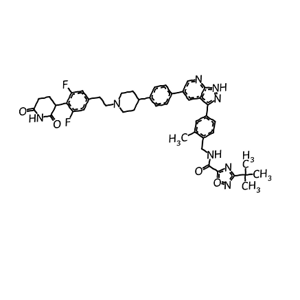 Cc1cc(-c2n[nH]c3ncc(-c4ccc(C5CCN(CCc6cc(F)c(C7CCC(=O)NC7=O)c(F)c6)CC5)cc4)cc23)ccc1CNC(=O)c1nc(C(C)(C)C)no1